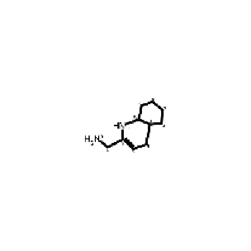 NCC1=CCC2CCCCC2N1